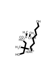 CC(=O)O.CC(=O)O.CC(C)(CO)CO.CCCCCCCCCCCCCCCCO